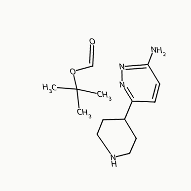 CC(C)(C)OC=O.Nc1ccc(C2CCNCC2)nn1